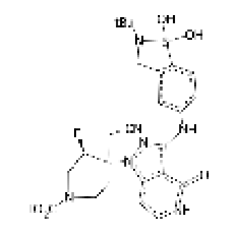 CC(C)(C)N1Cc2cc(Nc3nn([C@@]4(CC#N)CCN(C(=O)O)C[C@H]4F)c4cc[nH]c(=O)c34)ccc2S1(O)O